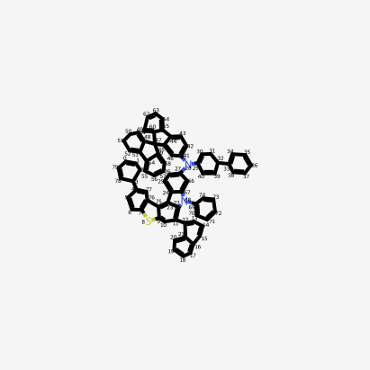 C1=CCC(c2ccc3sc4cc(-c5cccc6ccccc56)c5c(c6ccc(N(C7=CCC(c8ccccc8)C=C7)c7ccc8c(c7)C7(C9=CCCC=C9c9ccccc97)c7ccccc7-8)cc6n5-c5ccccc5)c4c3c2)C=C1